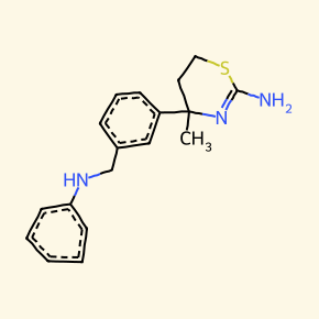 CC1(c2cccc(CNc3ccccc3)c2)CCSC(N)=N1